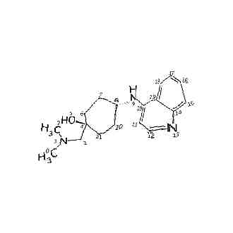 CN(C)C[C@]1(O)CC[C@H](Nc2ccnc3ccccc23)CC1